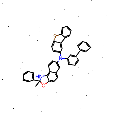 CC1(c2ccccc2)Nc2c(ccc3cc(N(c4cccc(-c5ccccc5)c4)c4ccc5sc6ccccc6c5c4)ccc23)O1